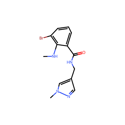 CNc1c(Br)cccc1C(=O)NCc1cnn(C)c1